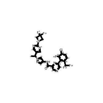 CC(c1cnc(N2CC(F)(F)C2)nc1)n1cc(NC(=O)c2cncc(-c3c(C(F)F)ccc(Cl)c3F)n2)cn1